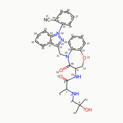 CC(NCC(C)(C)O)C(=O)NC1COc2ccccc2N(Cc2nn(-c3ccccc3C#N)c3ccccc23)C1=O